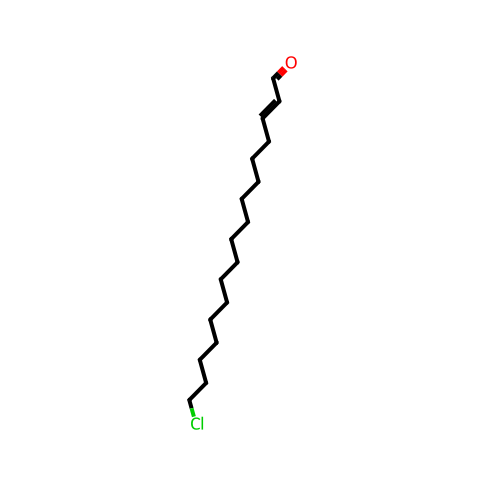 O=C/C=C/CCCCCCCCCCCCCCCl